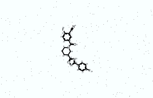 N#Cc1cc(C(=O)N2CCCC(c3nc(-c4ccc(F)cc4)no3)C2)ccc1F